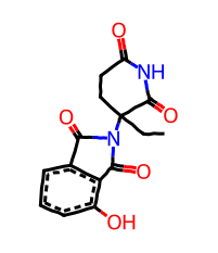 CCC1(N2C(=O)c3cccc(O)c3C2=O)CCC(=O)NC1=O